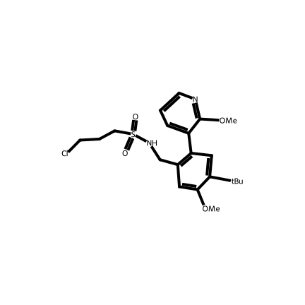 COc1cc(CNS(=O)(=O)CCCCl)c(-c2cccnc2OC)cc1C(C)(C)C